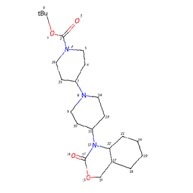 CC(C)(C)OC(=O)N1CCC(N2CCC(N3C(=O)OCC4CCCCC43)CC2)CC1